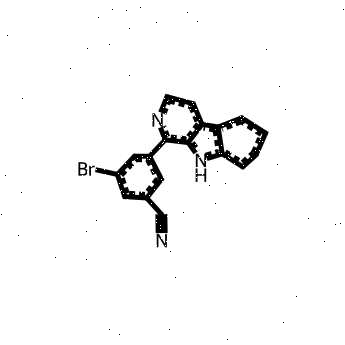 N#Cc1cc(Br)cc(-c2nccc3c2[nH]c2ccccc23)c1